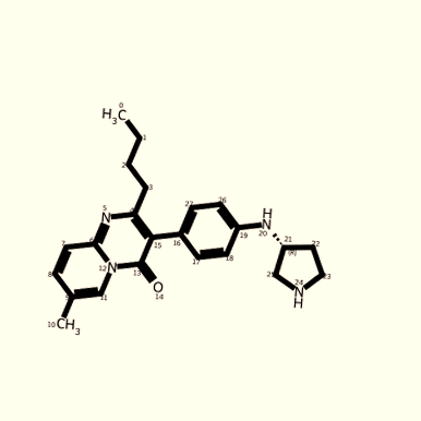 CCCCc1nc2ccc(C)cn2c(=O)c1-c1ccc(N[C@@H]2CCNC2)cc1